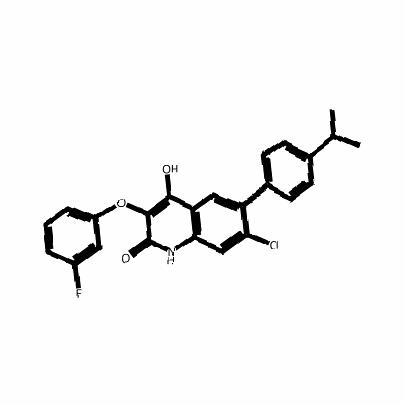 CC(C)c1ccc(-c2cc3c(O)c(Oc4cccc(F)c4)c(=O)[nH]c3cc2Cl)cc1